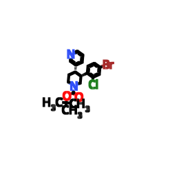 CC(C)(C)OC(=O)N1CC[C@H](c2cccnc2)[C@@H](c2ccc(Br)cc2Cl)C1